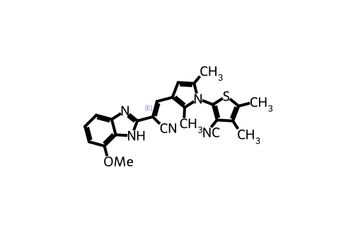 COc1cccc2nc(/C(C#N)=C/c3cc(C)n(-c4sc(C)c(C)c4C#N)c3C)[nH]c12